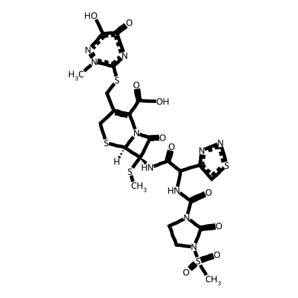 CS[C@@]1(NC(=O)C(NC(=O)N2CCN(S(C)(=O)=O)C2=O)c2csnn2)C(=O)N2C(C(=O)O)=C(CSc3nc(=O)c(O)nn3C)CS[C@@H]21